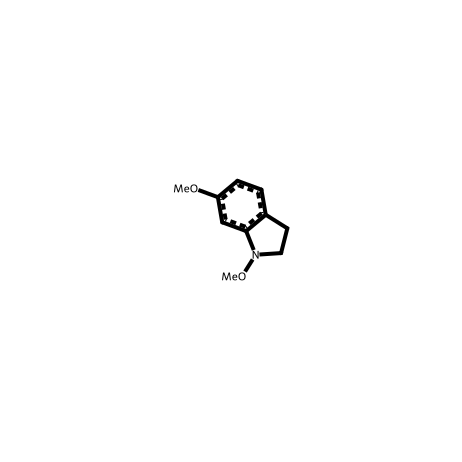 COc1ccc2c(c1)N(OC)CC2